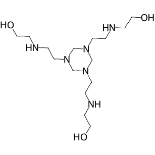 OCCNCCN1CN(CCNCCO)CN(CCNCCO)C1